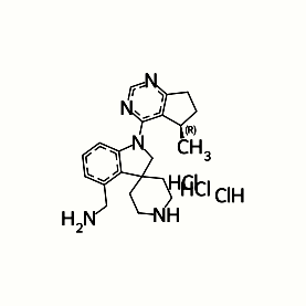 C[C@@H]1CCc2ncnc(N3CC4(CCNCC4)c4c(CN)cccc43)c21.Cl.Cl.Cl